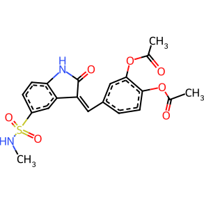 CNS(=O)(=O)c1ccc2c(c1)C(=Cc1ccc(OC(C)=O)c(OC(C)=O)c1)C(=O)N2